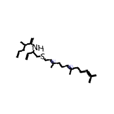 C=CCC(C)C(=C)NC(C=C)CSC/C=C(\C)CC/C=C(\C)CCC=C(C)C